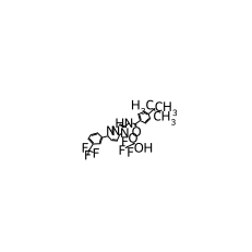 CC(C)(C)c1ccc(C(=O)Nc2cn3nc(-c4cccc(C(F)(F)F)c4)ccc3n2)cc1.O=C(O)C(F)(F)F